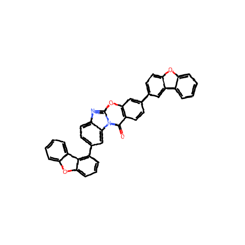 O=c1c2ccc(-c3ccc4oc5ccccc5c4c3)cc2oc2nc3ccc(-c4cccc5oc6ccccc6c45)cc3n12